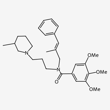 COc1cc(C(=O)N(CCCN2CCCC(C)C2)CC(C)=Cc2ccccc2)cc(OC)c1OC